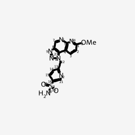 COc1ccc2c(ncc3nnn(Cc4ccc(S(N)(=O)=O)cn4)c32)n1